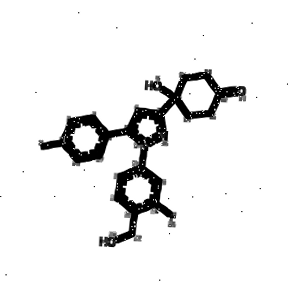 Cc1ccc(-c2cc(C3(O)CCC(=O)CC3)nn2-c2ccc(CO)c(F)c2)cc1